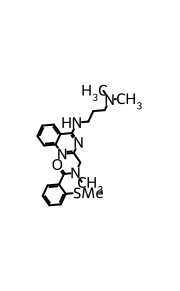 CSc1ccccc1C(=O)N(C)Cc1nc(NCCCN(C)C)c2ccccc2n1